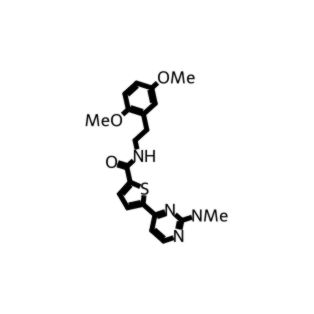 CNc1nccc(-c2ccc(C(=O)NCCc3cc(OC)ccc3OC)s2)n1